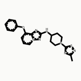 Cc1nsc(N2CCC(Nc3nc4c(Oc5ccccc5)cccn4n3)CC2)n1